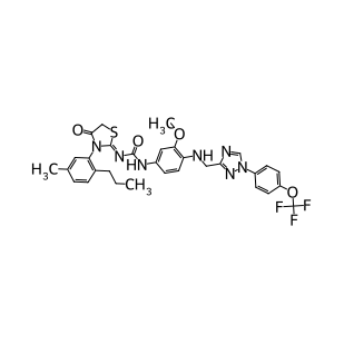 CCCc1ccc(C)cc1N1C(=O)CS/C1=N\C(=O)Nc1ccc(NCc2ncn(-c3ccc(OC(F)(F)F)cc3)n2)c(OC)c1